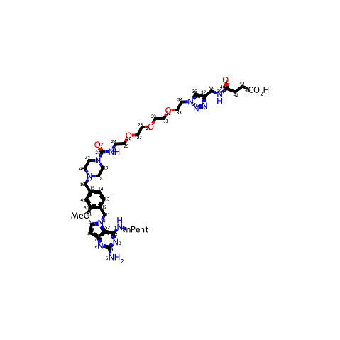 CCCCCNc1nc(N)nc2ccn(Cc3ccc(CN4CCN(C(=O)NCCOCCOCCOCCn5cc(CNC(=O)CCC(=O)O)nn5)CC4)cc3OC)c12